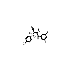 CSC(Nc1cc(F)cc(F)c1)=C(C#N)S(=O)(=O)c1ccc(Cl)cc1